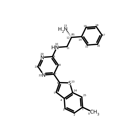 Cc1ccc2cc(-c3cc(NC[C@H](N)c4ccccc4)ncn3)sc2c1